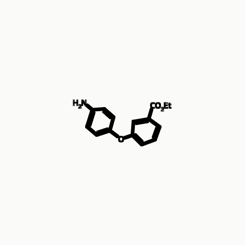 CCOC(=O)c1cccc(Oc2ccc(N)cc2)c1